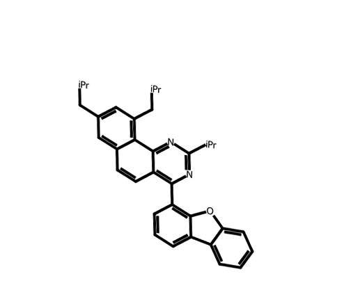 CC(C)Cc1cc(CC(C)C)c2c(ccc3c(-c4cccc5c4oc4ccccc45)nc(C(C)C)nc32)c1